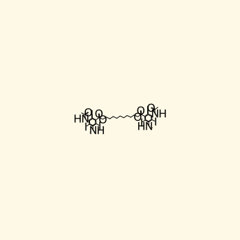 CNc1c(I)c(NC(C)=O)c(I)c(C(=O)OCCCCCCCCCOC(=O)c2c(I)c(NC)c(I)c(NC(C)=O)c2I)c1I